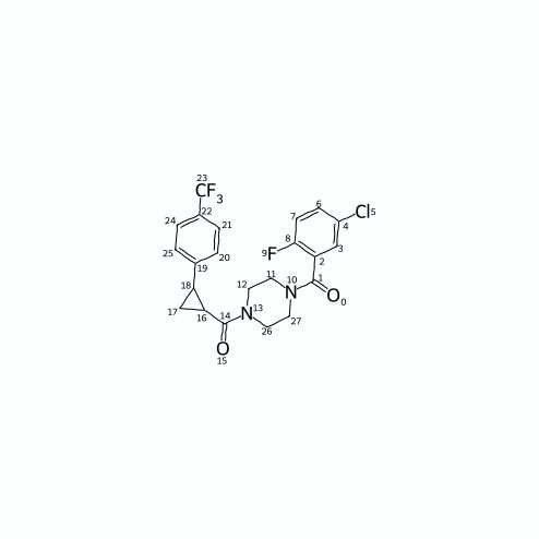 O=C(c1cc(Cl)ccc1F)N1CCN(C(=O)C2CC2c2ccc(C(F)(F)F)cc2)CC1